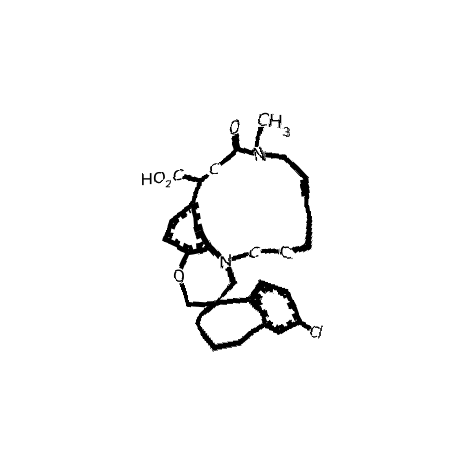 CN1CC=CCCCCN2C[C@@]3(CCCc4cc(Cl)ccc43)COc3ccc(cc32)C(C(=O)O)CC1=O